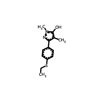 CCSc1ccc(-c2nn(C)c(O)c2C)cc1